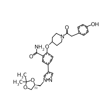 CC1(C)OC[C@H](Cn2cc(-c3ccc(OC4CCN(C(=O)Cc5ccc(O)cc5)CC4)c(C(N)=O)c3)cn2)O1